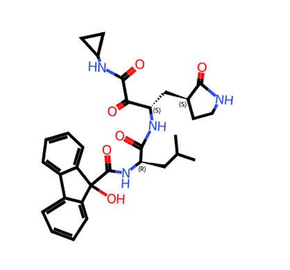 CC(C)C[C@@H](NC(=O)C1(O)c2ccccc2-c2ccccc21)C(=O)N[C@@H](C[C@@H]1CCNC1=O)C(=O)C(=O)NC1CC1